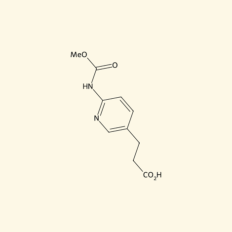 COC(=O)Nc1ccc(CCC(=O)O)cn1